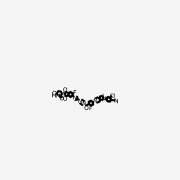 C[C@H]1CC2(CCN(c3ccc(C(=O)N4CCN(C5CN(c6cc7c(cc6F)C(=O)N(C6CCC(=O)NC6=O)C7=O)C5)CC4)c(F)c3)CC2)CN1c1ccc(C#N)c(Cl)c1